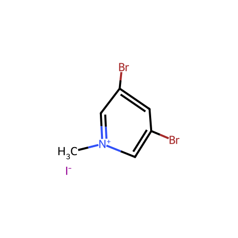 C[n+]1cc(Br)cc(Br)c1.[I-]